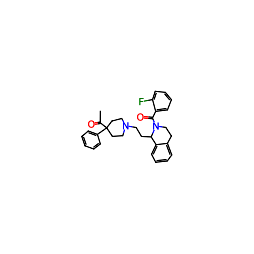 CC(=O)C1(c2ccccc2)CCN(CCC2c3ccccc3CCN2C(=O)c2ccccc2F)CC1